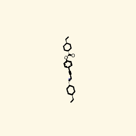 CC[C@H]1CC[C@H](/C=C/C#Cc2ccc(OC(=O)[C@H]3CC[C@H](CC)CC3)cc2)CC1